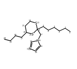 CCCCCCC1(Cn2ccnc2)SCCC(CCCC)S1